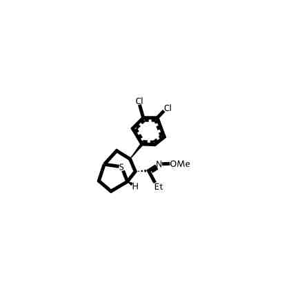 CCC(=NOC)[C@@H]1[C@@H]2CCC(C[C@H]1c1ccc(Cl)c(Cl)c1)S2